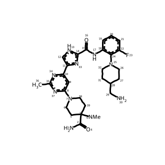 CNC1(C(N)=O)CCN(c2cc(-c3c[nH]c(C(=O)Nc4cccc(F)c4N4CCC(CN)CC4)n3)nc(C)n2)CC1